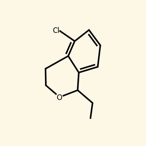 CCC1OCCc2c(Cl)cccc21